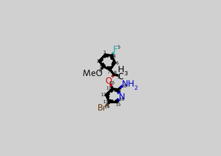 COc1ccc(F)cc1C(C)Oc1cc(Br)cnc1N